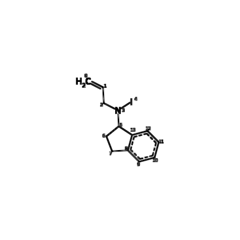 C=CCN(I)C1CCc2ccccc21